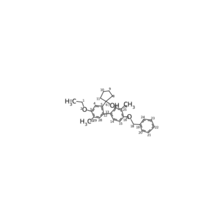 CCOc1cc(C2(O)CCCC2)c(-c2ccc(OCc3ccccc3)c(C)c2)cc1C